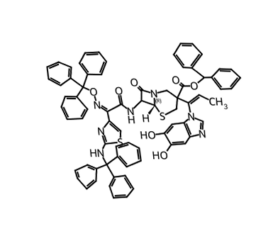 CC=C(n1cnc2cc(O)c(O)cc21)C1(C(=O)OC(c2ccccc2)c2ccccc2)CS[C@@H]2C(NC(=O)C(=NOC(c3ccccc3)(c3ccccc3)c3ccccc3)c3csc(NC(c4ccccc4)(c4ccccc4)c4ccccc4)n3)C(=O)N2C1